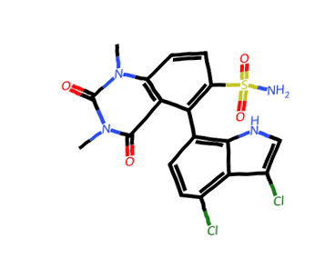 Cn1c(=O)c2c(-c3ccc(Cl)c4c(Cl)c[nH]c34)c(S(N)(=O)=O)ccc2n(C)c1=O